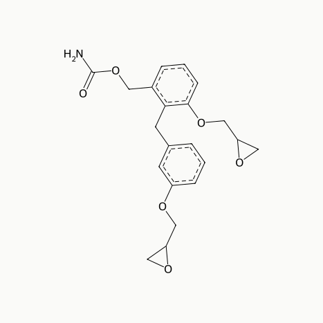 NC(=O)OCc1cccc(OCC2CO2)c1Cc1cccc(OCC2CO2)c1